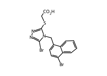 O=C(O)CSc1nnc(Br)n1Cc1ccc(Br)c2ccccc12